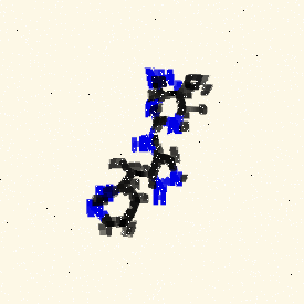 Cc1nc(Nc2cn[nH]c2C(C)c2cccnn2)nc(N)c1C(F)(F)F